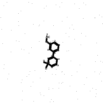 CC(=O)Cc1cccc(C2=CC(C)(C)C=CC2)c1